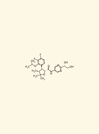 CC(C)Oc1c([C@H]2[C@H](C(=O)Nc3cnc([C@H](O)CO)nc3)OC(C)(C)[C@H]2C)ccc(F)c1F